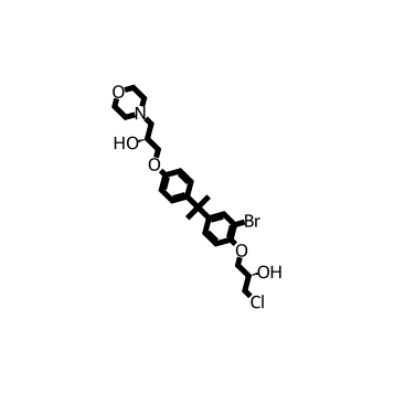 CC(C)(c1ccc(OC[C@H](O)CN2CCOCC2)cc1)c1ccc(OC[C@H](O)CCl)c(Br)c1